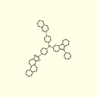 c1ccc(-n2c3ccccc3c3cc(N(c4ccc(-c5ccc6ccccc6c5)cc4)c4ccc(-c5nc6ccc7c8ccccc8ccc7c6o5)cc4)ccc32)cc1